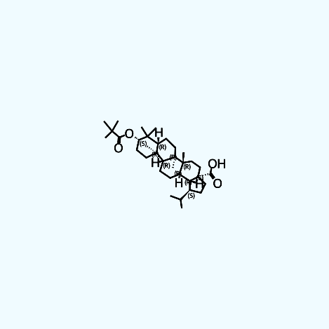 CC(C)[C@@H]1CC[C@]2(C(=O)O)CC[C@]3(C)[C@H](CC[C@@H]4[C@@]5(C)CC[C@H](OC(=O)C(C)(C)C)C(C)(C)[C@@H]5CC[C@]43C)[C@@H]12